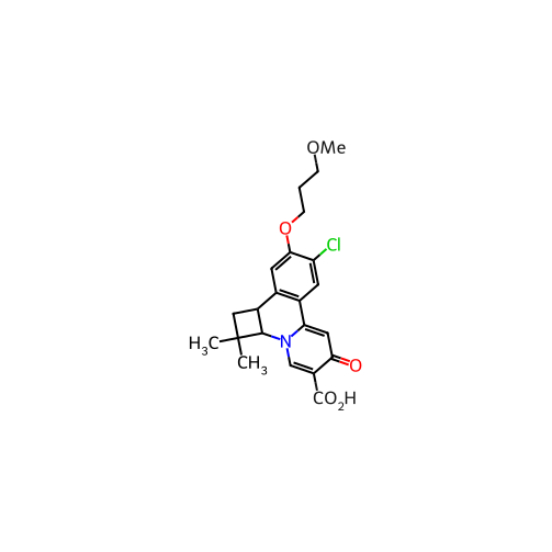 COCCCOc1cc2c(cc1Cl)-c1cc(=O)c(C(=O)O)cn1C1C2CC1(C)C